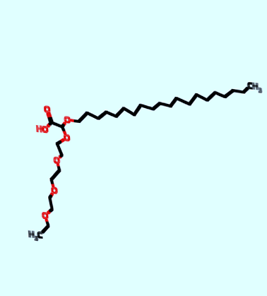 CCCCCCCCCCCCCCCCCCCCOC(OCCOCCOCCOCC)C(=O)O